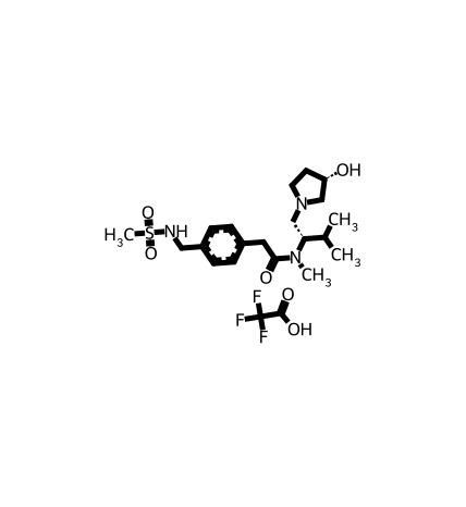 CC(C)[C@@H](CN1CC[C@H](O)C1)N(C)C(=O)Cc1ccc(CNS(C)(=O)=O)cc1.O=C(O)C(F)(F)F